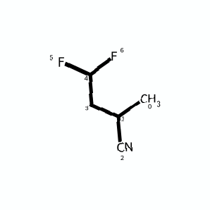 CC(C#N)CC(F)F